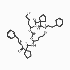 O=C(NCCc1ccccc1)C1(C(=O)NC(CCCBr)OBOC(CCCBr)NC(=O)C2(C(=O)NCCc3ccccc3)CCCC2)CCCC1